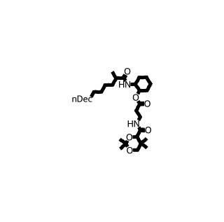 CCCCCCCCCCCCCCC(C)C(=O)NC1CCCCC1OC(=O)CCNC(=O)C1OC(C)(C)OCC1(C)C